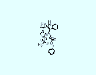 CC(C)(C)OC(=O)N1CC[C@H](OS(C)(=O)=O)[C@H]1[C@@H](CNC(=O)OCc1ccccc1)c1c[nH]c2ccccc12